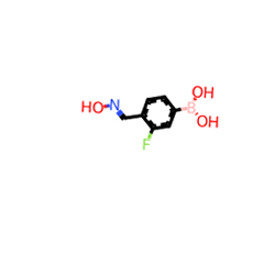 O/N=C/c1ccc(B(O)O)cc1F